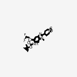 Cn1c(C2CCS(=O)(=O)CC2)nc2cc(OCC(F)F)c(NC(=O)OC3(C)C=C3)cc21